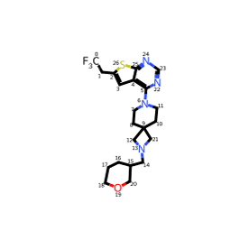 FC(F)(F)Cc1cc2c(N3CCC4(CC3)CN(CC3CCCOC3)C4)ncnc2s1